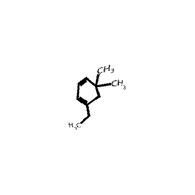 CCC1=CC=CC(C)(C)C1